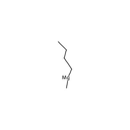 CCC[CH2][Mg][CH3]